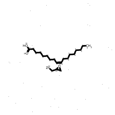 CCCCCCCC/C=C\CCCCCCCC(=O)O.[Zn][CH2]C1CO1